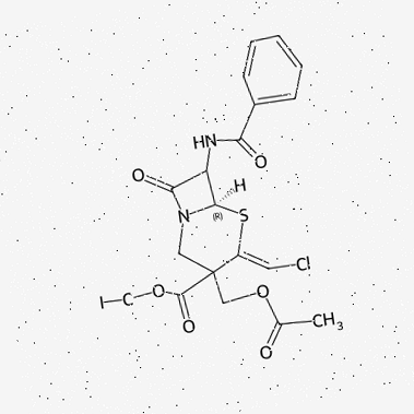 CC(=O)OCC1(C(=O)OCI)CN2C(=O)C(NC(=O)c3ccccc3)[C@H]2SC1=CCl